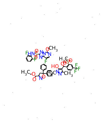 CCOC(=O)C1=NOC(c2ccccc2)(c2ccccc2)C1.COc1ncc(F)c2nc(S(=O)(=O)Nc3c(F)cccc3F)nn12.Cc1nn(C)c(O)c1C(=O)c1ccc(C(F)(F)F)cc1S(C)(=O)=O